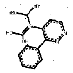 CCCCC(CCC)S(=C(O)O)c1ccnnc1-c1ccccc1